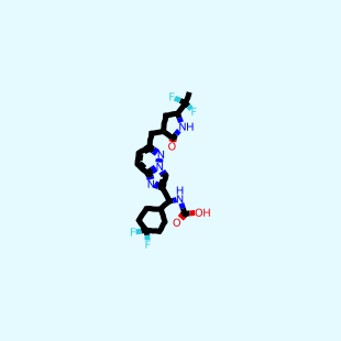 CC(F)(F)C1CC(Cc2ccc3nc(C(NC(=O)O)C4CCC(F)(F)CC4)cn3n2)C(=O)N1